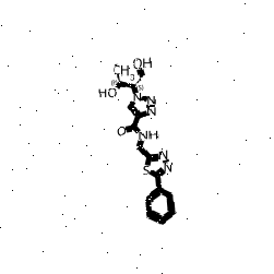 C[C@@H](O)[C@H](CO)n1cc(C(=O)NCc2nnc(-c3ccccc3)s2)nn1